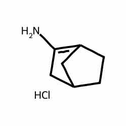 Cl.NC1=C2CCC(C1)C2